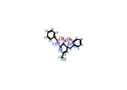 NC1(Cc2ccccc2)C=C(C(F)F)N=C(NCc2ccccc2)C1[N+](=O)[O-]